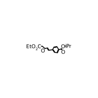 CCOC(=O)CC(=O)C=Cc1ccc(C(=O)OC(C)C)cc1